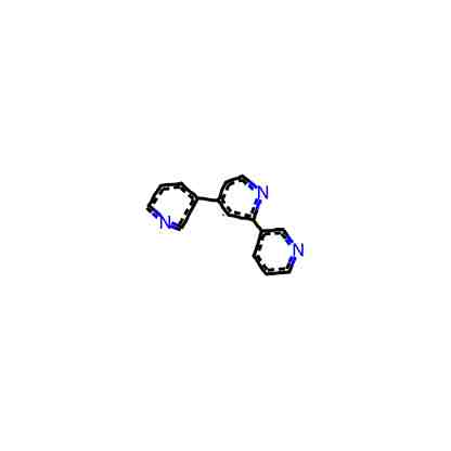 [c]1c(-c2cccnc2)ccnc1-c1cccnc1